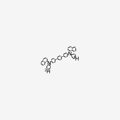 [2H]c1ccc(N(c2ccc(-c3ccc(-c4ccc(N(c5ccc([2H])cc5)c5cccc6ccccc56)cc4)cc3)cc2)c2cccc3ccccc23)cc1